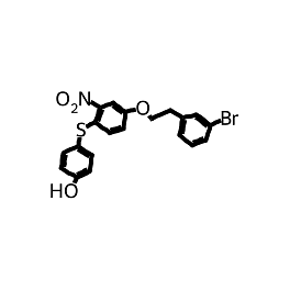 O=[N+]([O-])c1cc(OCCc2cccc(Br)c2)ccc1Sc1ccc(O)cc1